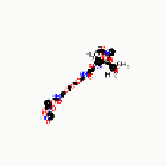 CCC(C)(C)C(=O)C(=O)N1CCCC[C@H]1C(=O)O[C@H](CCc1ccc(OC)c(OC)c1)c1cccc(NC(=O)CCC(=O)NCCCOCCOCCOCCCNC(=O)COc2cccc3c2C(=O)N([C@H]2CCCC(=O)NC2=O)C3=O)c1